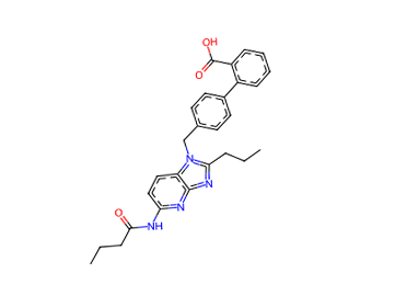 CCCC(=O)Nc1ccc2c(n1)nc(CCC)n2Cc1ccc(-c2ccccc2C(=O)O)cc1